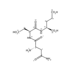 NC(=O)C[C@H](N)C(=O)N[C@@H](CC(=O)O)C(=O)N[C@@H](CCC(=O)O)C(=O)O